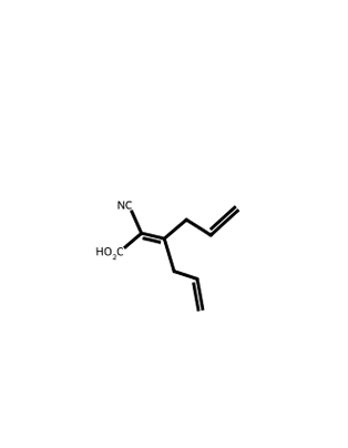 C=CCC(CC=C)=C(C#N)C(=O)O